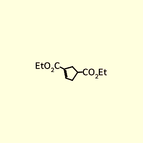 CCOC(=O)C1=CCC(C(=O)OCC)C1